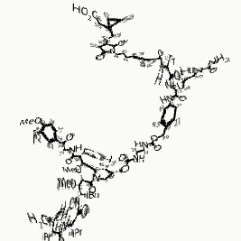 CC[C@H](C)[C@@H]([C@@H](CC(=O)N1C[C@@H](OC(=O)NCCNC(=O)OCc2ccc(NC(=O)[C@H](CCCNC(N)=O)NC(=O)[C@@H](NC(=O)CCCCCN3C(=O)CC(SCC4(CC(=O)O)CC4)C3=O)C(C)C)cc2)C[C@H]1[C@H](OC)[C@@H](C)C(=O)NCC(=O)c1ccc(OC)c(F)c1)OC)N(C)C(=O)[C@@H](NC(=O)[C@H](C(C)C)N(C)C)C(C)C